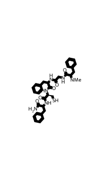 CNC(Cc1ccccc1)C(=O)NCC(=O)NC(Cc1ccccc1)C(=O)N[C@@H](CS)C(=O)NC(Cc1ccccc1)C(N)=O